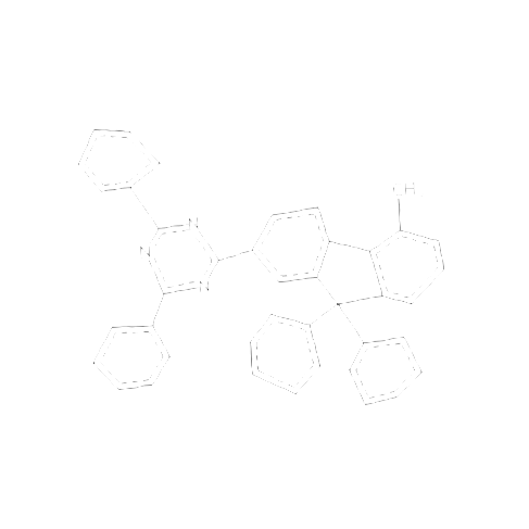 Cc1cccc2c1-c1ccc(-c3nc(-c4ccccc4)nc(-c4ccccc4)n3)cc1C2(c1ccccc1)c1ccccc1